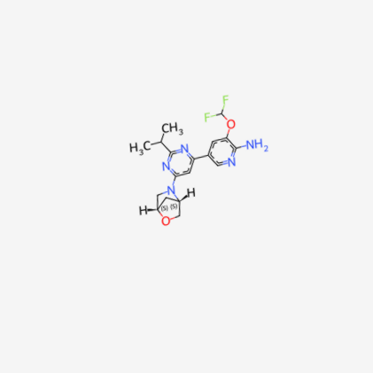 CC(C)c1nc(-c2cnc(N)c(OC(F)F)c2)cc(N2C[C@@H]3C[C@H]2CO3)n1